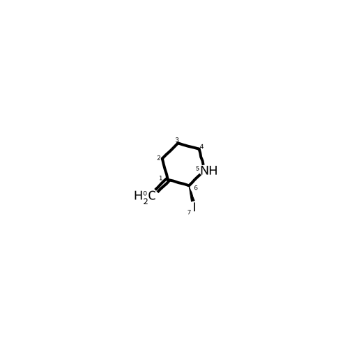 C=C1CCCN[C@H]1I